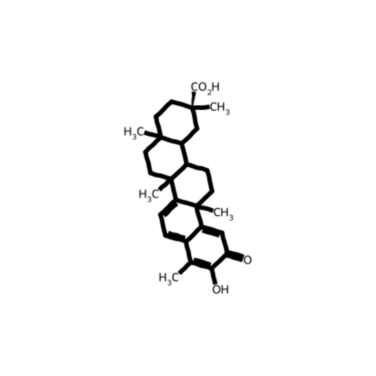 CC1=C(O)C(=O)C=C2C1=CC=C1C2(C)CCC2C3C[C@](C)(C(=O)O)CCC3(C)CCC12C